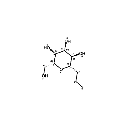 CCC[C@@H]1O[C@H](CO)[C@@H](O)[C@H](O)[C@H]1O